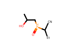 CCC(C#N)[PH](=O)CC(C)O